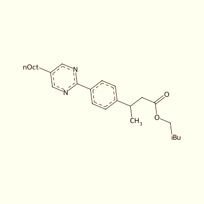 CCCCCCCCc1cnc(-c2ccc(C(C)CC(=O)OCC(C)CC)cc2)nc1